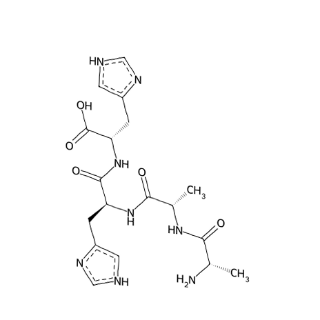 C[C@H](N)C(=O)N[C@@H](C)C(=O)N[C@@H](Cc1c[nH]cn1)C(=O)N[C@@H](Cc1c[nH]cn1)C(=O)O